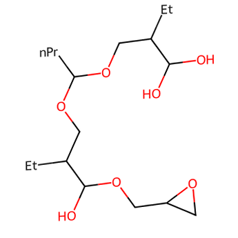 CCCC(OCC(CC)C(O)O)OCC(CC)C(O)OCC1CO1